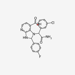 NC(=O)C(c1cccc(Cl)c1)N1c2c(C(=O)O)ccnc2NC1c1ccc(F)cc1